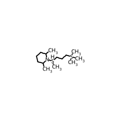 CC1CCCC(C)N1[SH](C)CCCS(C)(C)C